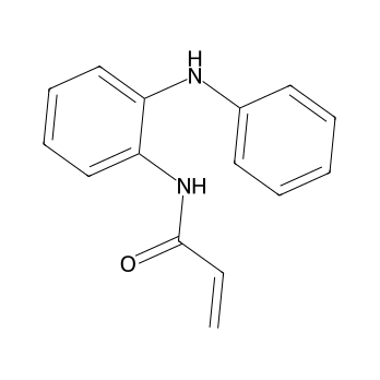 C=CC(=O)Nc1ccccc1Nc1ccccc1